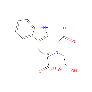 O=C(O)CN(CC(=O)O)[C@@H](Cc1c[nH]c2ccccc12)C(=O)O